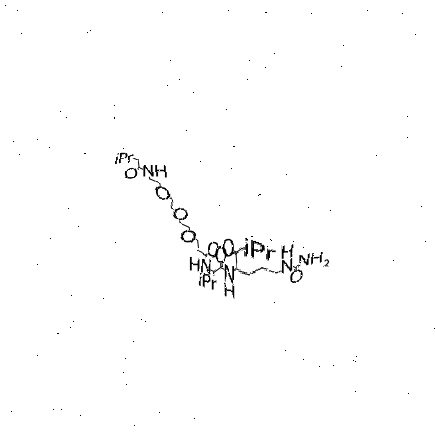 CC(C)CC(=O)NCCOCCOCCOCCC(=O)NC(C(=O)NC(CCCNC(N)=O)C(=O)C(C)C)C(C)C